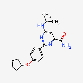 CC(C)Nc1cc(C(N)=O)nc(-c2ccc(OC3CCCC3)cc2)n1